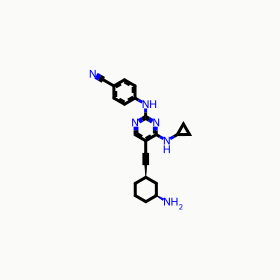 N#Cc1ccc(Nc2ncc(C#C[C@@H]3CCC[C@H](N)C3)c(NC3CC3)n2)cc1